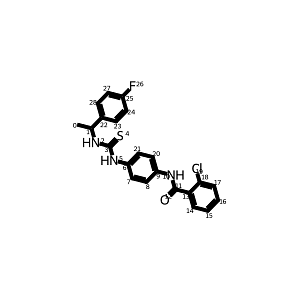 CC(NC(=S)Nc1ccc(NC(=O)c2ccccc2Cl)cc1)c1ccc(F)cc1